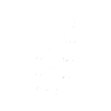 O=C(C1CC1F)C(c1ccccc1F)N1CCc2sc(O)cc2C1